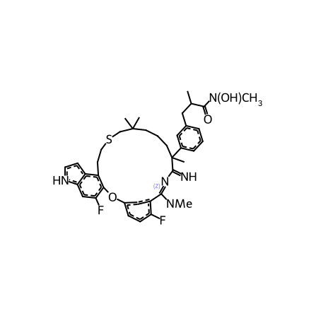 CN/C1=N\C(=N)C(C)(c2cccc(CC(C)C(=O)N(C)O)c2)CCCC(C)(C)CSCCc2c(c(F)cc3[nH]ccc23)Oc2ccc(F)c1c2